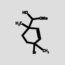 COC(O)C1(C)C=CC(C)(Br)CC1